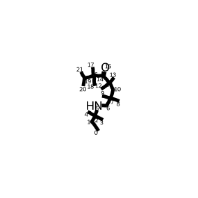 CCC(C)(C)NCC(C)(C)CC(C)(C)C(=O)C(C)(C)C(C)C